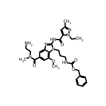 CCn1nc(C)cc1C(=O)Nc1nc2cc(C(=O)N(C)CCN)cc(OC)c2n1CCCNC(=O)OCc1ccccc1